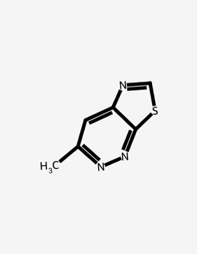 Cc1cc2ncsc2nn1